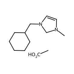 CC(=O)O.CN1C=CN(CC2CCCCC2)C1